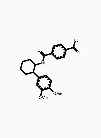 CCC(=O)c1ccc(C(=O)NC2CCCCC2c2ccc(OC)c(OC)c2)cc1